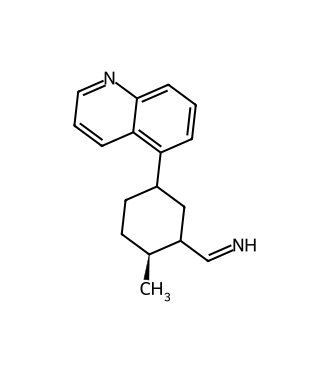 C[C@H]1CCC(c2cccc3ncccc23)CC1C=N